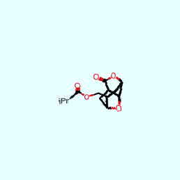 CC(C)C(=O)OCC1C2CC3C(=O)OC1C3O2